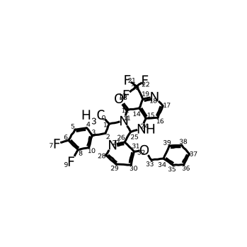 CC(Cc1ccc(F)c(F)c1)N1C(=O)c2c(ccnc2C(F)(F)F)NC1c1ncccc1OCc1ccccc1